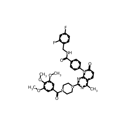 COc1cc(C(=O)N2CCN(c3nc(C)c4ccc(=O)n(-c5ccc(C(=O)NCc6ccc(F)cc6F)cc5)c4n3)CC2)cc(OC)c1OC